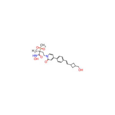 CC(CCn1ccc(-c2ccc(C=CC3CC(CO)C3)cc2)cc1=O)(C(=O)NO)S(C)(=O)=O